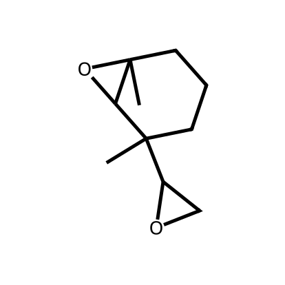 CC12CCCC(C)(C3CO3)C1O2